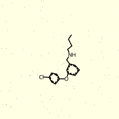 CCCCNCc1cccc(Oc2ccc(Cl)cc2)c1